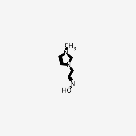 CN1C=CN(CC=NO)C1